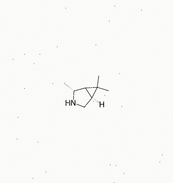 C[C@H]1NC[C@H]2C1C2(C)C